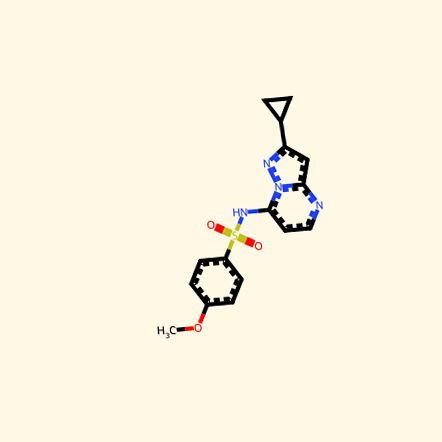 COc1ccc(S(=O)(=O)Nc2ccnc3cc(C4CC4)nn23)cc1